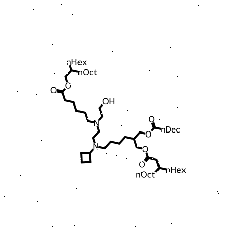 CCCCCCCCCCC(=O)OCC(CCCCN(CCN(CCO)CCCCCC(=O)OCC(CCCCCC)CCCCCCCC)C1CCC1)COC(=O)CC(CCCCCC)CCCCCCCC